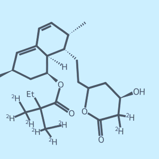 [2H]C1([2H])C(=O)OC(CC[C@@H]2[C@@H]3C(=C[C@H](C)C[C@@H]3OC(=O)C(CC)(C([2H])([2H])[2H])C([2H])([2H])[2H])C=C[C@@H]2C)C[C@H]1O